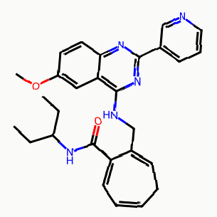 CCC(CC)NC(=O)C1=CC=CCC=C1CNc1nc(-c2cccnc2)nc2ccc(OC)cc12